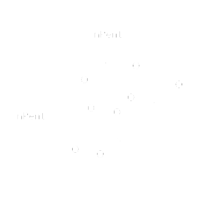 CCCCCC(=O)OOC(=O)c1ccccc1C(=O)OOC(=O)CCCCC